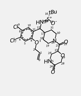 C=CCOc1cc(Cl)c(Cl)cc1C(N[S@@+]([O-])C(C)(C)C)C1CCN(C(=O)C2CNC(=O)CO2)CC1